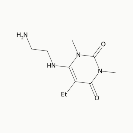 CCc1c(NCCN)n(C)c(=O)n(C)c1=O